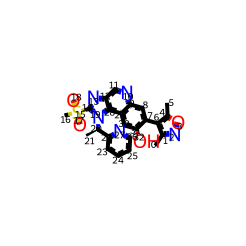 Cc1noc(C)c1-c1cc2ncc3nc(S(C)(=O)=O)n([C@H](C)c4ccccn4)c3c2cc1O